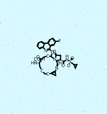 O=C(O)N[C@H]1CCCCC2=C(C2)/N=C\[C@@H]2[C@H](C(=O)NS(=O)(=O)C3CC3)CC(=O)N2C(Oc2nc3ccccc3c3ccc(F)cc23)CCC1=O